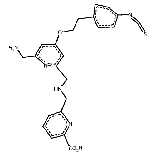 NCc1cc(OCCc2ccc(N=C=S)cc2)cc(CNCc2cccc(C(=O)O)n2)n1